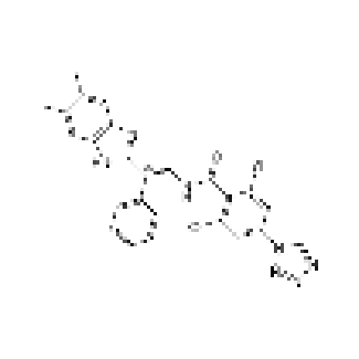 Cc1cc2nc([C@@H](CNC(=O)c3c(Cl)cc(-n4cnnn4)cc3Cl)c3ccccc3)[nH]c2cc1C